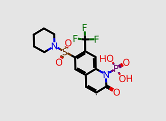 O=c1[c]cc2cc(S(=O)(=O)N3CCCCC3)c(C(F)(F)F)cc2n1P(=O)(O)O